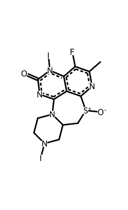 Cc1nc2c3c(nc(=O)n(I)c3c1F)N1CCN(I)CC1C[S+]2[O-]